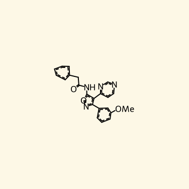 COc1cccc(-c2noc(NC(=O)Cc3ccccc3)c2-c2ccncn2)c1